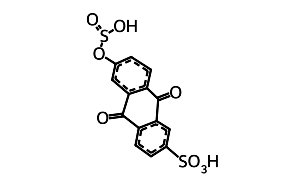 O=C1c2ccc(S(=O)(=O)O)cc2C(=O)c2ccc(OS(=O)O)cc21